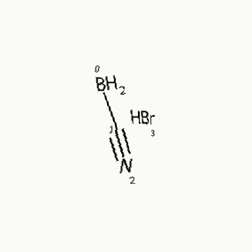 BC#N.Br